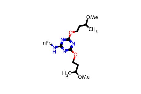 CCCNc1nc(OCCC(C)OC)nc(OCCC(C)OC)n1